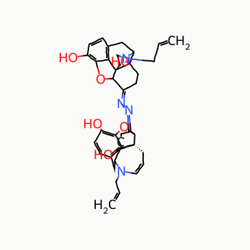 C=CCN1C=CC[C@]23c4c5ccc(O)c4OC2/C(=N/N=C2\CCC4(O)C6Cc7ccc(O)c8c7[C@@]4(CCN6CC=C)C2O8)CCC3(O)C1C5